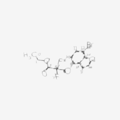 CCOC(=O)C(F)(F)Oc1ccc(Br)c2occc12